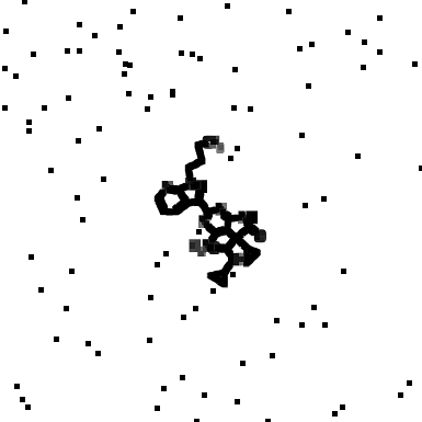 Nc1nc(-c2nn(CCCC(F)(F)F)c3ncccc23)nc2c1C(C(=O)NC1CC1)(C1CC1)C(=O)N2